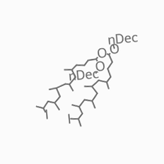 CCCCCCCCCCOC(CCCC(C)CC(C)CC(C)CC(C)CC(C)I)OC(CCCC(C)CC(C)CC(C)CC(C)CC(C)I)OCCCCCCCCCC